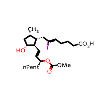 CCCCC[C@@H](/C=C/[C@@H]1[C@@H](C/C(I)=C/CCCC(=O)O)[C@@H](C)C[C@H]1O)OC(=O)OC